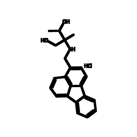 CC(O)C(C)(CO)NCc1ccc2c3c(cccc13)-c1ccccc1-2.Cl